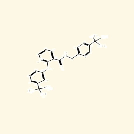 CC(C)(O)c1ccc(CNC(=O)c2cccnc2Oc2cccc(C(C)(C)O)c2)cc1